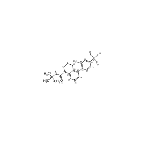 CC(C)(C)OC(=O)N1CCCc2c(-c3ccc(C(F)(F)F)cc3F)cncc21